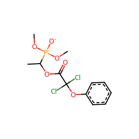 CO[P+]([O-])(OC)C(C)OC(=O)C(Cl)(Cl)Oc1ccccc1